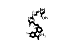 CC(N)c1ccc(F)cc1-c1cccc2cc(-c3nc(NCCn4nncc4CO)ncc3F)sc12